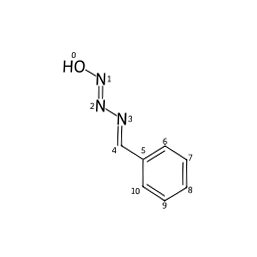 ON=NN=Cc1ccccc1